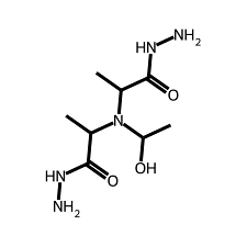 CC(O)N(C(C)C(=O)NN)C(C)C(=O)NN